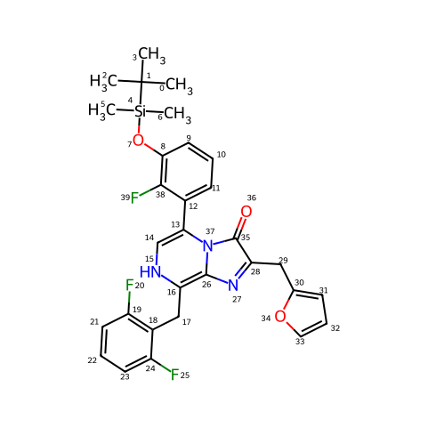 CC(C)(C)[Si](C)(C)Oc1cccc(-c2c[nH]c(Cc3c(F)cccc3F)c3nc(Cc4ccco4)c(=O)n2-3)c1F